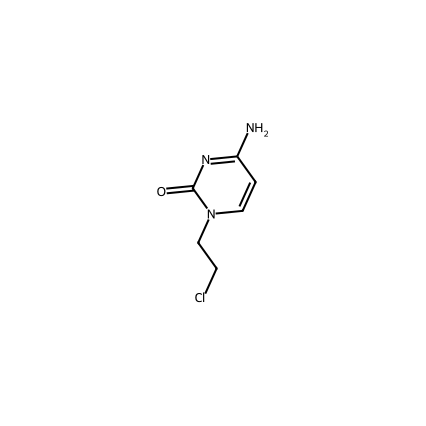 Nc1ccn(CCCl)c(=O)n1